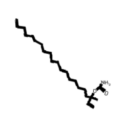 C=CC(C)(CCCCCCCCCCCCCCCCCC)OC(N)=O